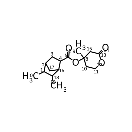 CC1C2CC(C(=O)OC3(C)CCOC(=O)C3)C(C2)C1C